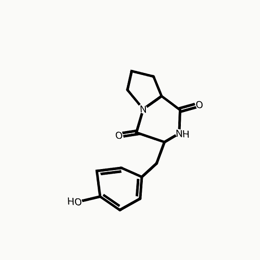 O=C1NC(Cc2ccc(O)cc2)C(=O)N2CCCC12